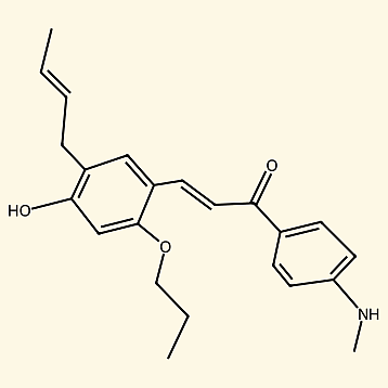 CC=CCc1cc(C=CC(=O)c2ccc(NC)cc2)c(OCCC)cc1O